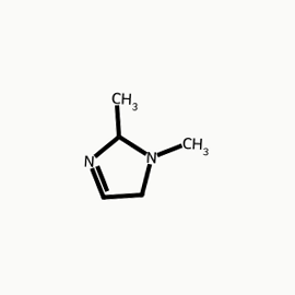 CC1N=CCN1C